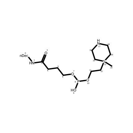 CCCCCCCCCCNC(=O)CCCOP(O)OCCS1(C)CCNCC1